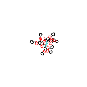 O=C(O[C@@H]1Cc2c(OCc3ccccc3)cc(OCc3ccccc3)cc2O[C@H]1c1cc(OCc2ccccc2)c(OCc2ccccc2)c(OCc2ccccc2)c1F)c1cc(OCc2ccccc2)c(OCc2ccccc2)c(OCc2ccccc2)c1F